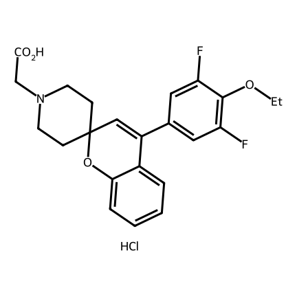 CCOc1c(F)cc(C2=CC3(CCN(CC(=O)O)CC3)Oc3ccccc32)cc1F.Cl